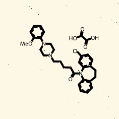 COc1ccccc1N1CCN(CCCCC(=O)N2c3ccccc3CCc3ccc(Cl)cc32)CC1.O=C(O)C(=O)O